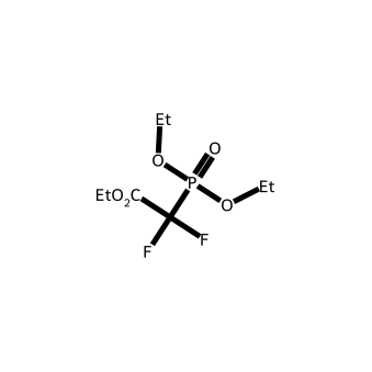 CCOC(=O)C(F)(F)P(=O)(OCC)OCC